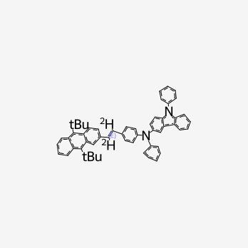 [2H]/C(=C(/[2H])c1ccc2c(C(C)(C)C)c3ccccc3c(C(C)(C)C)c2c1)c1ccc(N(c2ccccc2)c2ccc3c(c2)c2ccccc2n3-c2ccccc2)cc1